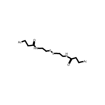 CC(=O)CCC(=O)NCCSSCCNC(=O)CCC(C)=O